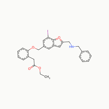 CCOC(=O)Cc1ccccc1OCc1cc(I)c2oc(CNCc3ccccc3)cc2c1